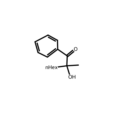 CCCCCCC(C)(O)C(=O)c1ccccc1